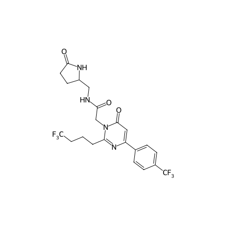 O=C(Cn1c(CCCC(F)(F)F)nc(-c2ccc(C(F)(F)F)cc2)cc1=O)NCC1CCC(=O)N1